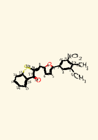 Cc1cc(-c2ccc(C=C3Sc4ccccc4C3=O)o2)cc([N+](=O)[O-])c1C